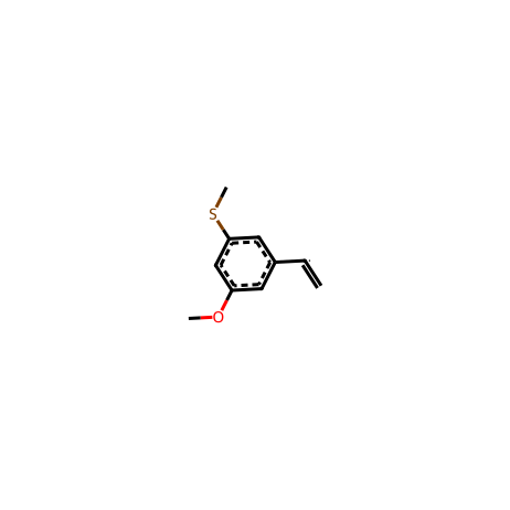 C=[C]c1cc(OC)cc(SC)c1